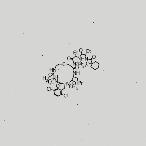 CC[C@H](NC(=O)C1(C(F)(F)F)CCCCC1)C(=O)N[C@@H](CC)C(=O)N(C)[C@H]1CCCCNC(=O)C(C)(C)NC(=O)[C@H](Cc2cc(Cl)ccc2Cl)N(C)C(=O)[C@H](CC(C)C)NC1=O